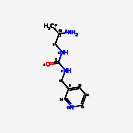 C[C@H](N)CNC(=O)NCc1cccnc1